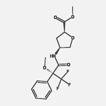 COC(=O)[C@@H]1C[C@H](NC(=O)[C@](OC)(c2ccccc2)C(F)(F)F)CO1